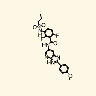 CCCS(=O)(=O)Nc1ccc(F)c(C(=O)Nc2cnc3[nH]c(-c4ccc(OC)cc4)nc3c2)c1F